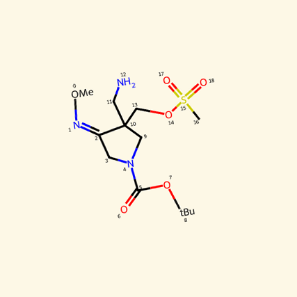 CON=C1CN(C(=O)OC(C)(C)C)CC1(CN)COS(C)(=O)=O